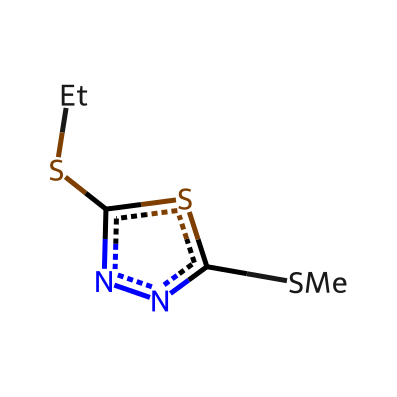 CCSc1nnc(SC)s1